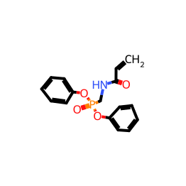 C=CC(=O)NCP(=O)(Oc1ccccc1)Oc1ccccc1